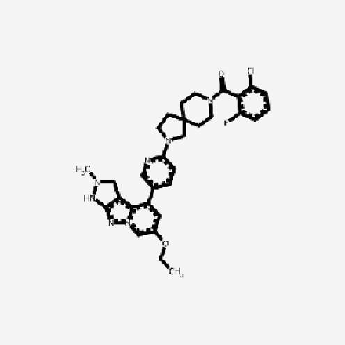 CCOc1cc(-c2ccc(N3CCC4(CCN(C(=O)c5c(F)cccc5Cl)CC4)C3)nc2)c2c3c(nn2c1)NN(C)C3